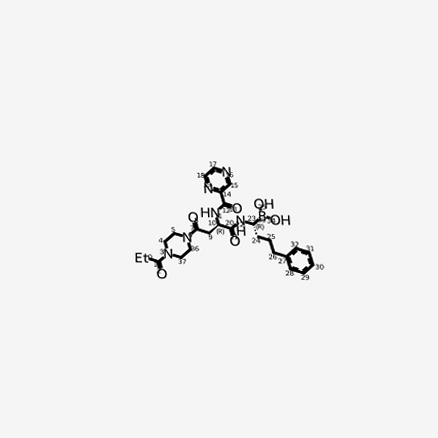 CCC(=O)N1CCN(C(=O)C[C@@H](NC(=O)c2cnccn2)C(=O)N[C@@H](CCCc2ccccc2)B(O)O)CC1